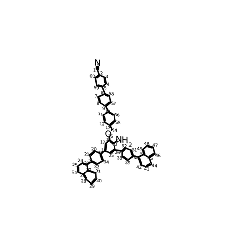 N#Cc1ccc(-c2ccc(-c3ccc(COc4cc(-c5ccc(-c6cccc7ccccc67)cc5)cc(-c5ccc(-c6cccc7ccccc67)cc5)c4N)cc3)cc2)cc1